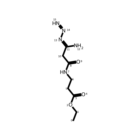 CCOC(=O)CCNC(=O)C/C(N)=N/N=N